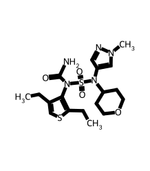 CCc1csc(CC)c1N(C(N)=O)S(=O)(=O)N(c1cnn(C)c1)C1CCOCC1